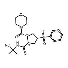 CC(C)(C#N)NC(=O)[C@@H]1CC(S(=O)(=O)c2ccccc2)C[C@H]1C(=O)N1CCOCC1